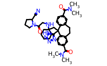 CN(C)C(=O)c1ccc2c(c1)CCc1cc(C(=O)N(C)C)ccc1C2(CC1(NCC(=O)N2CCCC2C#N)CCCCC1)c1nnn[nH]1